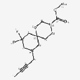 CC#CCN1CC(F)(F)CC2(CCN(C(=O)OC(C)(C)C)CO2)C1